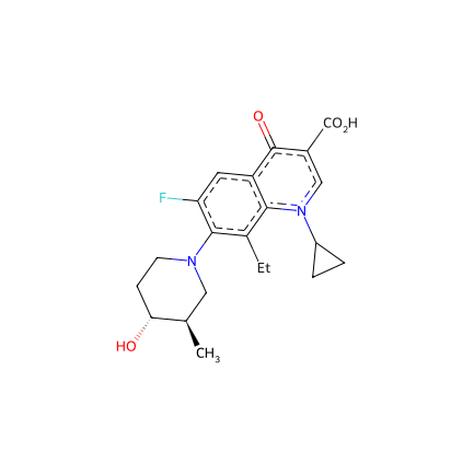 CCc1c(N2CC[C@@H](O)[C@H](C)C2)c(F)cc2c(=O)c(C(=O)O)cn(C3CC3)c12